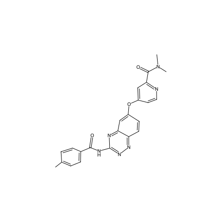 Cc1ccc(C(=O)Nc2nnc3ccc(Oc4ccnc(C(=O)N(C)C)c4)cc3n2)cc1